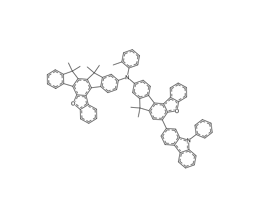 Cc1ccccc1N(c1ccc2c(c1)C(C)(C)c1cc(-c3ccc4c5ccccc5n(-c5ccccc5)c4c3)c3oc4ccccc4c3c1-2)c1ccc2c(c1)C(C)(C)c1c3c(c4oc5ccccc5c4c1-2)-c1ccccc1C3(C)C